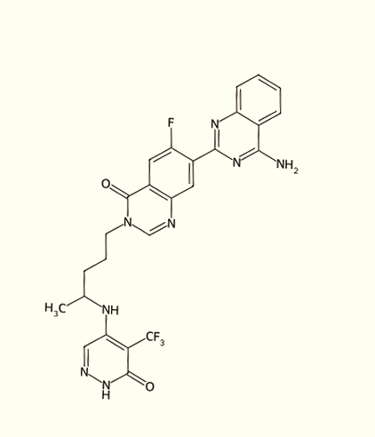 CC(CCCn1cnc2cc(-c3nc(N)c4ccccc4n3)c(F)cc2c1=O)Nc1cn[nH]c(=O)c1C(F)(F)F